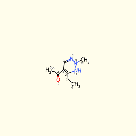 CCC1=C(C(C)=O)C=NN(C)N1